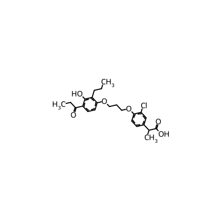 CCCc1c(OCCCOc2ccc(C(C)C(=O)O)cc2Cl)ccc(C(=O)CC)c1O